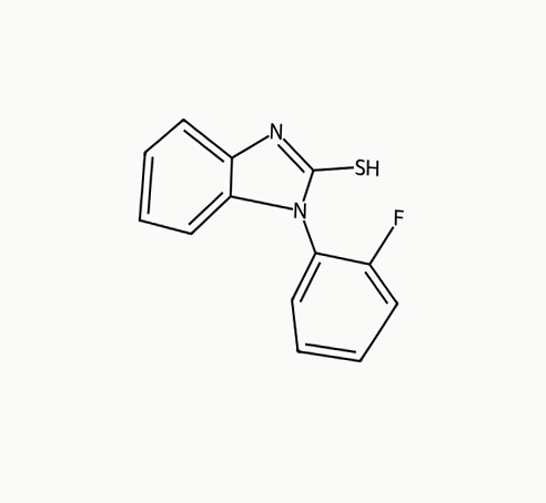 Fc1ccccc1-n1c(S)nc2ccccc21